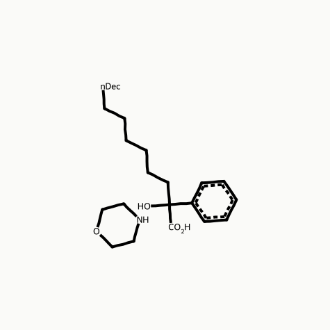 C1COCCN1.CCCCCCCCCCCCCCCCC(O)(C(=O)O)c1ccccc1